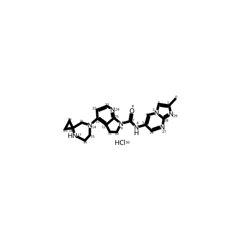 Cc1cn2cc(NC(=O)N3CCc4c(N5CCNC6(CC6)C5)ccnc43)cnc2n1.Cl